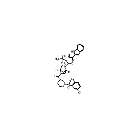 CC(C)(C)[C@H](NC(=O)c1cc2ccccc2[nH]1)C(=O)N1C[C@@H]2C[C@H]1CN2C(=O)[C@H]1CCCN(S(=O)(=O)c2cc(Cl)ccc2Cl)C1